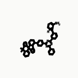 CC1(C)c2ccccc2C2(c3ccccc3-c3c(-c4ccc(-c5nc(-c6ccccc6)nc(-c6cccc(C7=C8C(N)=CC=C[C@H]87)c6)n5)cc4)cccc32)c2ccccc21